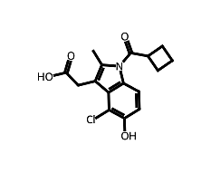 Cc1c(CC(=O)O)c2c(Cl)c(O)ccc2n1C(=O)C1CCC1